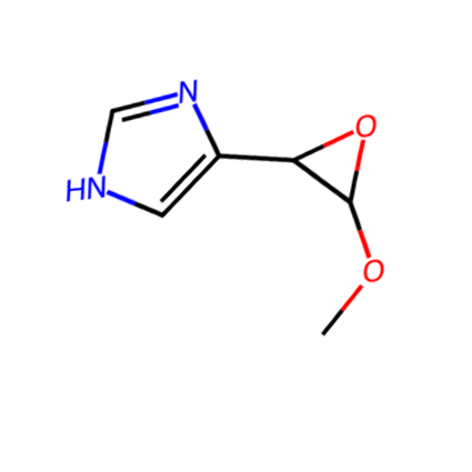 COC1OC1c1c[nH]cn1